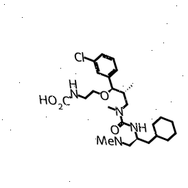 CNC[C@H](CC1CCCCC1)NC(=O)N(C)C[C@@H](C)[C@@H](OCCNC(=O)O)c1cccc(Cl)c1